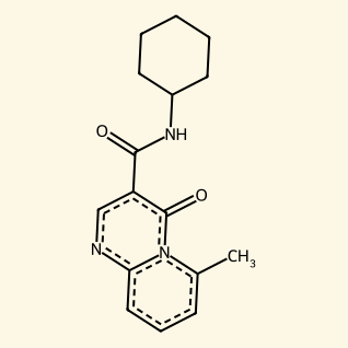 Cc1cccc2ncc(C(=O)NC3CCCCC3)c(=O)n12